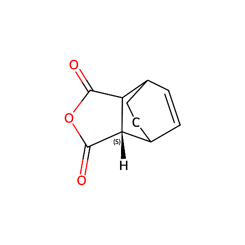 O=C1OC(=O)[C@H]2C3C=CC(CC3)C12